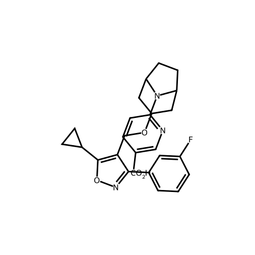 O=C(O)c1ccc(N2C3CCC2CC(OCc2c(-c4cccc(F)c4)noc2C2CC2)C3)nc1